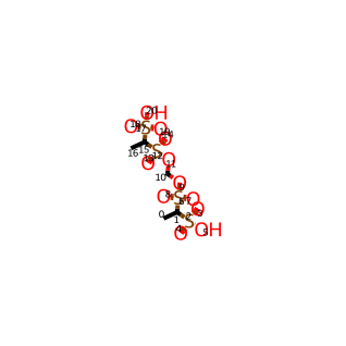 CC(S(=O)(=O)O)S(=O)(=O)OCOS(=O)(=O)C(C)S(=O)(=O)O